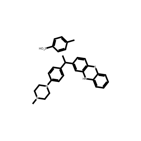 CC(c1ccc(N2CCN(C)CC2)cc1)c1ccc2c(c1)Nc1ccccc1S2.Cc1ccc(S(=O)(=O)O)cc1